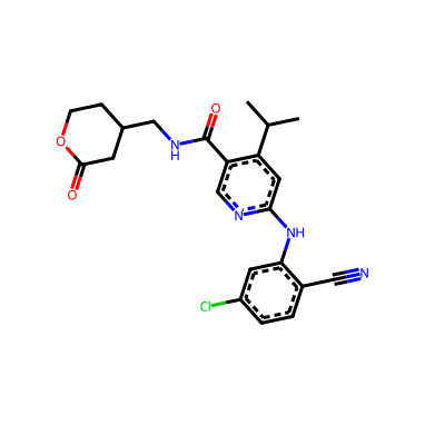 CC(C)c1cc(Nc2cc(Cl)ccc2C#N)ncc1C(=O)NCC1CCOC(=O)C1